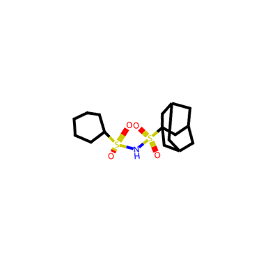 O=S(=O)(NS(=O)(=O)C12CC3CC(CC(C3)C1)C2)C1CCCCC1